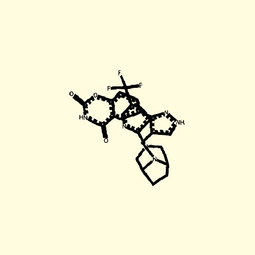 O=c1[nH]c(=O)c2cc(-c3n[nH]cc3CN3C4CCC3CN(c3ccc(C(F)(F)F)cn3)C4)ccc2o1